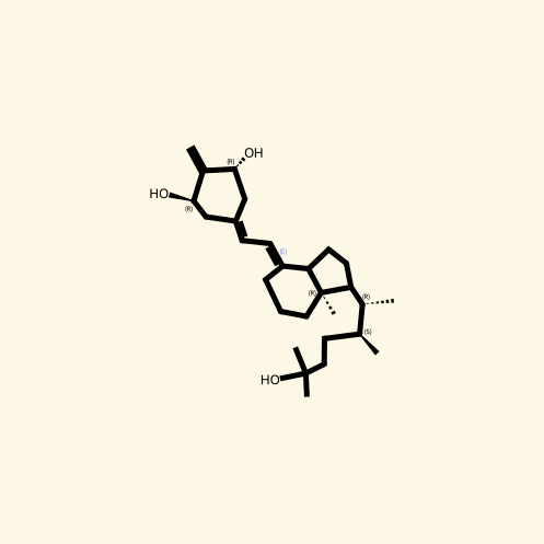 C=C1[C@H](O)CC(=C/C=C2\CCC[C@@]3(C)C2CCC3[C@H](C)[C@@H](C)CCC(C)(C)O)C[C@H]1O